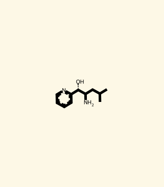 CC(C)CC(N)[C@@H](O)c1ccccn1